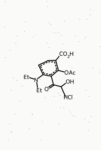 CCN(CC)c1ccc(C(=O)O)c(OC(C)=O)c1C(=O)C(C)O.Cl